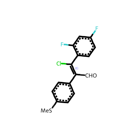 CSc1ccc(/C(C=O)=C(\Cl)c2ccc(F)cc2F)cc1